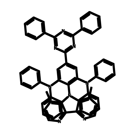 Cc1ccnc2c3nccc(C)c3n(-c3c(N(c4ccccc4)c4ccccc4)cc(-c4nc(-c5ccccc5)nc(-c5ccccc5)n4)cc3N(c3ccccc3)c3ccccc3)c12